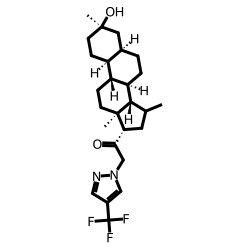 CC1C[C@H](C(=O)Cn2cc(C(F)(F)F)cn2)[C@@]2(C)CC[C@H]3[C@@H](CC[C@@H]4C[C@](C)(O)CC[C@@H]43)[C@H]12